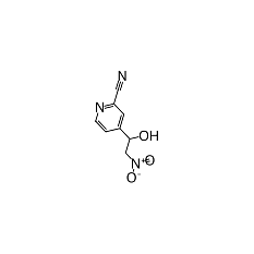 N#Cc1cc(C(O)C[N+](=O)[O-])ccn1